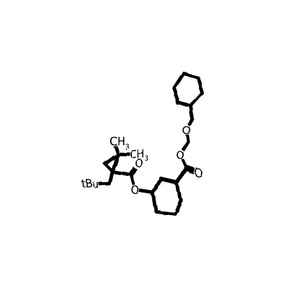 CC(C)(C)CC1(C(=O)OC2CCCC(C(=O)OCOCC3CCCCC3)C2)CC1(C)C